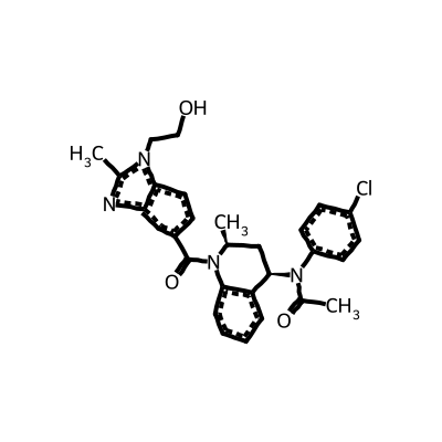 CC(=O)N(c1ccc(Cl)cc1)[C@@H]1C[C@H](C)N(C(=O)c2ccc3c(c2)nc(C)n3CCO)c2ccccc21